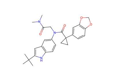 CN(C)C(=O)CN(C(=O)C1(c2ccc3c(c2)OCO3)CC1)c1ccc2[nH]c(C(C)(C)C)cc2c1